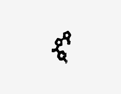 O=C(c1ccc(F)nc1)N1CC[C@H](N2CCCC2=O)C1